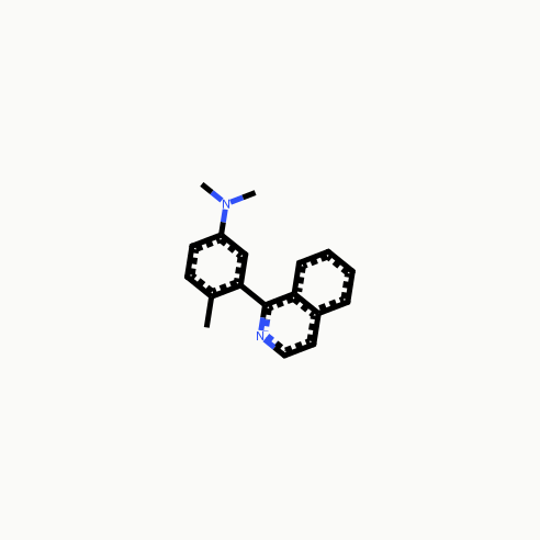 Cc1ccc(N(C)C)cc1-c1nccc2ccccc12